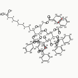 O=C(O)CCCCCCCCCC1OC(COC(=O)c2ccccc2)C(OC2OC(COC(=O)c3ccccc3)C(OC(=O)c3ccccc3)C(OC(=O)c3ccccc3)C2OC(=O)c2ccccc2)C(OC(=O)c2ccccc2)C1OC(=O)c1ccccc1